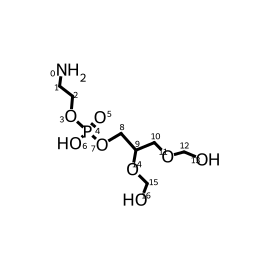 NCCOP(=O)(O)OCC(COCO)OCO